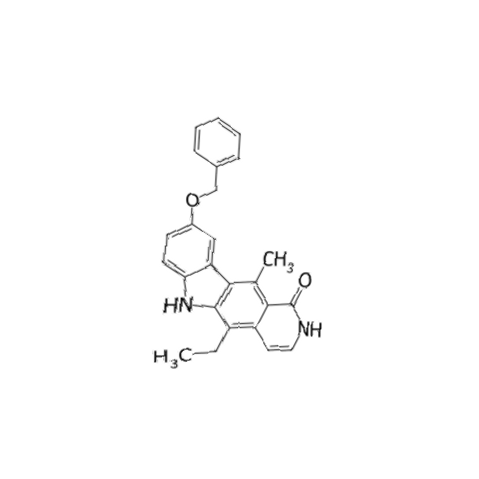 CCc1c2cc[nH]c(=O)c2c(C)c2c1[nH]c1ccc(OCc3ccccc3)cc12